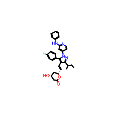 CCC(C)c1nn(-c2ccnc(Nc3ccccc3)c2)c(-c2ccc(F)cc2)c1/C=C/[C@H]1C[C@@H](O)CC(=O)O1